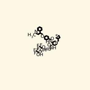 Cc1cc(COc2ccc(C(=O)N[C@@H]3CN(Cc4ccsc4)CC[C@@H]3C(=O)NO)cc2)c2ccccc2n1.O=C(O)C(F)(F)F.O=C(O)C(F)(F)F